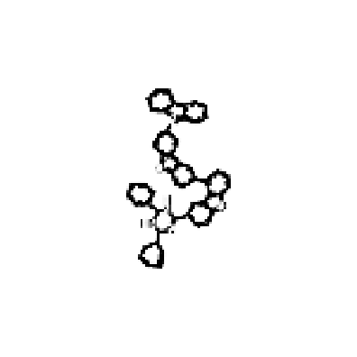 C1=CCC(C2N=C(c3ccc4oc5cccc(-c6ccc7oc8ccc(-n9c%10ccccc%10c%10ccccc%109)cc8c7c6)c5c4c3)NC(c3ccccc3)N2)C=C1